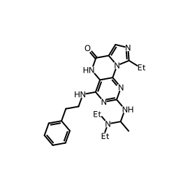 CCc1ncc2c(=O)[nH]c3c(NCCc4ccccc4)nc(NC(C)N(CC)CC)nc3n12